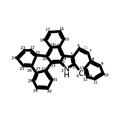 Cc1[nH]c2c(c1/C=C\c1ccccc1)c1ccccc1c1c3ccccc3c3ccccc3c21